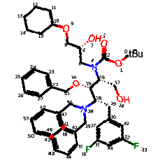 CC(C)(C)OC(=O)N(C[C@@H](O)COC1CCCCC1)[C@H](CO)[C@@H](OCc1ccccc1)[C@H](Cc1cc(F)cc(F)c1)N(Cc1ccccc1)Cc1ccccc1